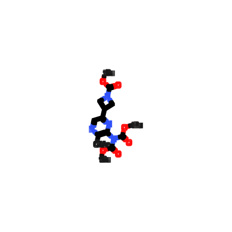 COc1ncc(C2CN(C(=O)OC(C)(C)C)C2)nc1N(C(=O)OC(C)(C)C)C(=O)OC(C)(C)C